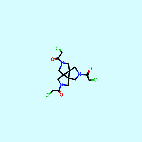 O=C(CCl)N1CC23CN(C(=O)CCl)CC24CN(C(=O)CCl)CC34C1